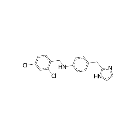 Clc1ccc(CNc2ccc(Cc3ncc[nH]3)cc2)c(Cl)c1